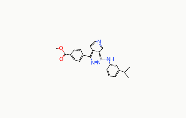 COC(=O)c1ccc(-c2nnc(Nc3cccc(C(C)C)c3)c3cnccc23)cc1